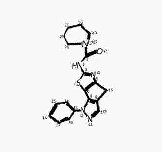 O=C(Nc1nc2c(s1)-c1c(cnn1-c1ccccc1)C2)N1CCCCC1